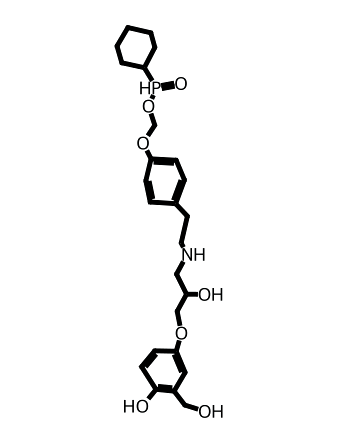 O=[PH](OCOc1ccc(CCNCC(O)COc2ccc(O)c(CO)c2)cc1)C1CCCCC1